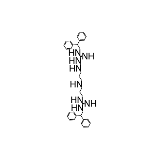 N=C(NCCCNCCCNCNC(=N)NCC(c1ccccc1)c1ccccc1)NCC(c1ccccc1)c1ccccc1